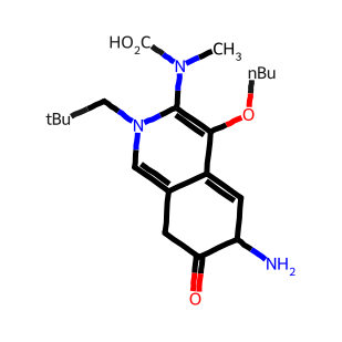 CCCCOC1=C(N(C)C(=O)O)N(CC(C)(C)C)C=C2CC(=O)C(N)C=C21